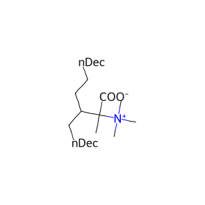 CCCCCCCCCCCCC(CCCCCCCCCCC)C(C)(C(=O)[O-])[N+](C)(C)C